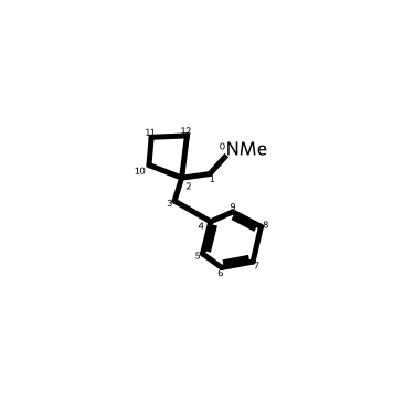 CNCC1(Cc2ccccc2)CCC1